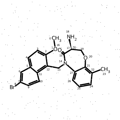 COc1ccc2cc(Br)ccc2c1CN1C(=O)[C@@H](N)COc2c(C)cccc21